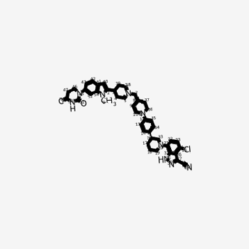 Cn1c(C2CCN(CC3CCN(c4ccc([C@@H]5CCCN(c6ccc(Cl)c7c(C#N)n[nH]c67)C5)cc4)CC3)CC2)cc2ccc(N3CCC(=O)NC3=O)cc21